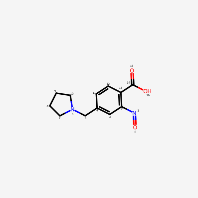 O=Nc1cc(CN2CCCC2)ccc1C(=O)O